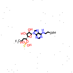 CSCCNc1ncnc2c1ncn2[C@@H]1O[C@H](C(CCC(F)(F)F)OP(O)(O)=S)[C@@H](O)[C@H]1O